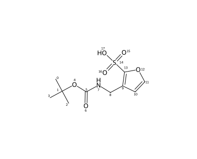 CC(C)(C)OC(=O)NCc1ccoc1S(=O)(=O)O